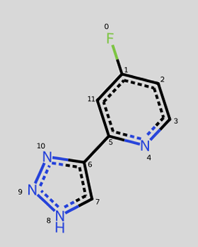 Fc1ccnc(-c2c[nH]nn2)c1